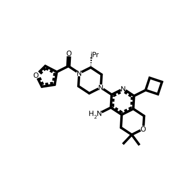 CC(C)[C@@H]1CN(c2nc(C3CCC3)c3c(c2N)CC(C)(C)OC3)CCN1C(=O)c1ccoc1